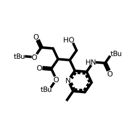 Cc1ccc(NC(=O)C(C)(C)C)c(C(CO)C(CC(=O)OC(C)(C)C)C(=O)OC(C)(C)C)n1